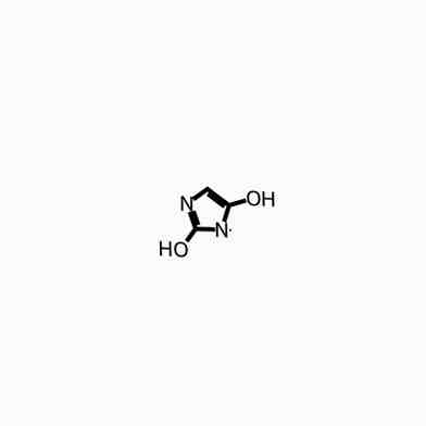 OC1=CN=C(O)[N]1